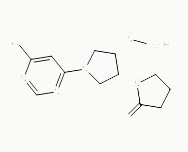 O=C(O)N[C@H]1CN(c2cc(Cl)ncn2)C[C@H]1N1CCCC1=O